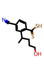 CC(CCCO)c1cc(C#N)ccc1C(=S)S